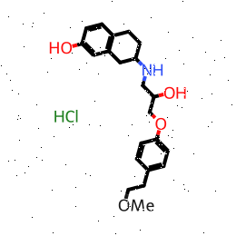 COCCc1ccc(OCC(O)CNC2CCc3ccc(O)cc3C2)cc1.Cl